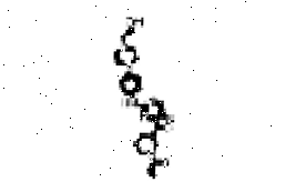 C=CC(=O)N1CCCC(c2onc3cnc(Nc4ccc(N5CCN(CCO)CC5)cc4)nc23)C1